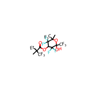 CCC(C)(C(=O)OC1C(F)(F)C(C)(C(F)(F)F)OC(O)(C(F)(F)F)C1(F)F)C(F)(F)F